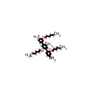 CCCCCCOc1cc(-c2cc(OCCCCCC)c(-c3ccc(C)cc3OCCCCCC)cc2C)ccc1C